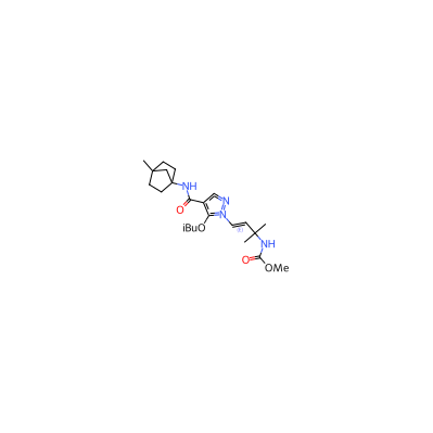 COC(=O)NC(C)(C)/C=C/n1ncc(C(=O)NC23CCC(C)(CC2)C3)c1OCC(C)C